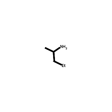 CC[CH]C(C)N